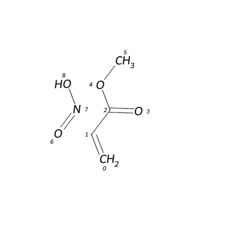 C=CC(=O)OC.O=NO